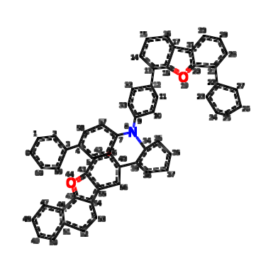 c1ccc(-c2ccc(N(c3ccc(-c4cccc5c4oc4c(-c6ccccc6)cccc45)cc3)c3ccccc3-c3ccc4oc5c6ccccc6ccc5c4c3)cc2)cc1